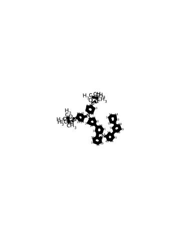 CC1(C)OB(c2ccc(N(c3ccc(B4OC(C)(C)C(C)(C)O4)cc3)c3ccc(-c4ccc5c(c4)c4ccccc4n5-c4cccc(-c5cccc(-c6ccccc6)c5)c4)cc3)cc2)OC1(C)C